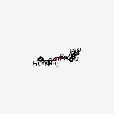 Nc1nnc(-c2ccccc2O)cc1OCC12CC(CNC(=O)CCCOc3cccc4c3C(=O)N(C3CCC(=O)NC3=O)C4=O)(C1)C2